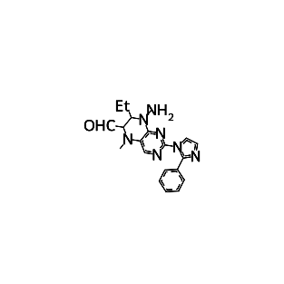 CCC1C(C=O)N(C)c2cnc(-n3ccnc3-c3ccccc3)nc2N1N